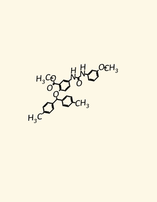 COC(=O)c1cc(NC(=O)Nc2cccc(OC)c2)ccc1OC(c1ccc(C)cc1)c1ccc(C)cc1